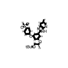 Cc1cnc2[nH]c(-c3cc(Oc4ccc(S(C)(=O)=O)cc4)cc(O[C@@H](C)COC(C)(C)C)c3)nc2c1